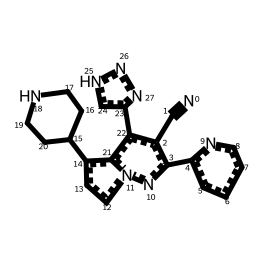 N#Cc1c(-c2ccccn2)nn2ccc(C3CCNCC3)c2c1-c1c[nH]nn1